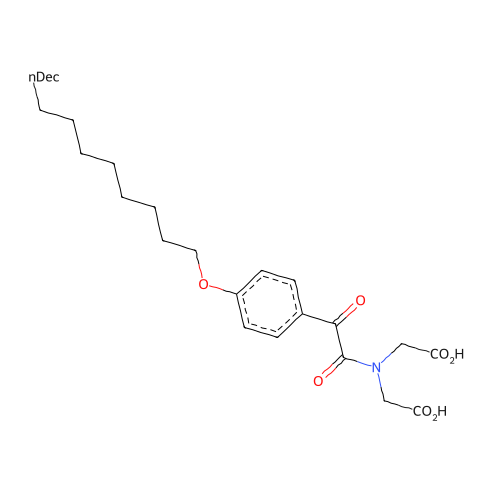 CCCCCCCCCCCCCCCCCCOc1ccc(C(=O)C(=O)N(CC(=O)O)CC(=O)O)cc1